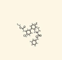 CCOC(=O)Cc1cc(-c2ccc(F)c3c2CN(C(=O)OCc2ccccc2)CC3)ccc1Cl